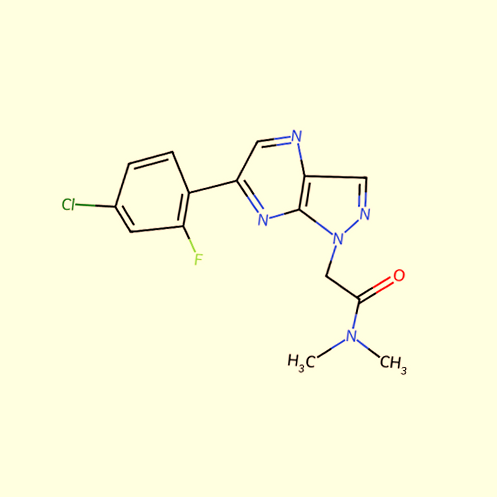 CN(C)C(=O)Cn1ncc2ncc(-c3ccc(Cl)cc3F)nc21